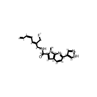 C=C/C=C\C=C(/CF)CNC(=O)c1cc2ccc(-c3cn[nH]c3)nc2n1C